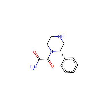 NC(=O)C(=O)N1CCNC[C@@H]1c1ccccc1